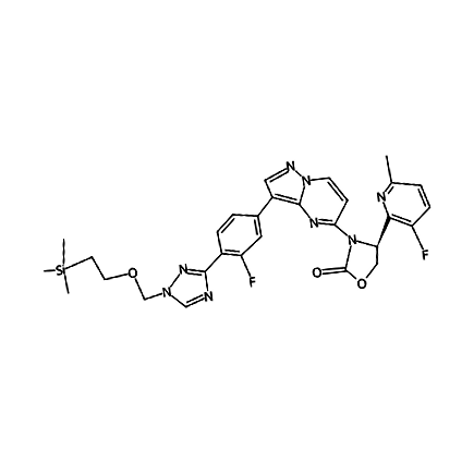 Cc1ccc(F)c([C@H]2COC(=O)N2c2ccn3ncc(-c4ccc(-c5ncn(COCC[Si](C)(C)C)n5)c(F)c4)c3n2)n1